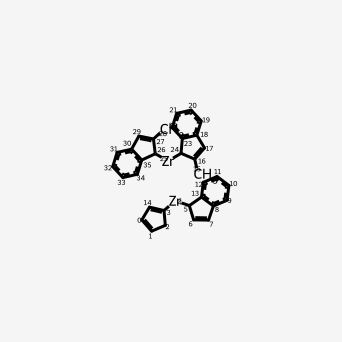 C1=CC[C]([Zr][CH]2C=Cc3ccccc32)=C1.CC1=Cc2ccccc2[CH]1[Zr][CH]1C(C)=Cc2ccccc21